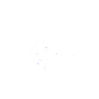 COc1cc(-c2ccccc2)ccc1C(c1cn[nH]c1-c1ccccc1F)N1CCOCC1